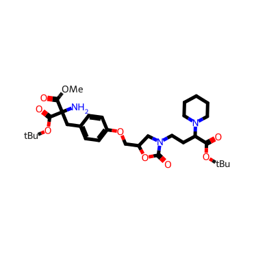 COC(=O)C(N)(Cc1ccc(OCC2CN(CCC(C(=O)OC(C)(C)C)N3CCCCC3)C(=O)O2)cc1)C(=O)OC(C)(C)C